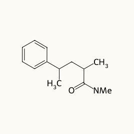 CNC(=O)C(C)CC(C)c1ccccc1